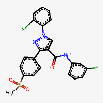 CS(=O)(=O)c1ccc(-c2nn(-c3ccccc3F)cc2C(=O)Nc2cccc(F)c2)cc1